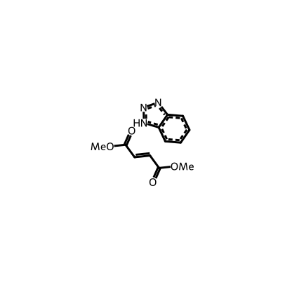 COC(=O)C=CC(=O)OC.c1ccc2[nH]nnc2c1